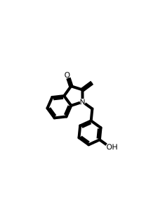 C=C1C(=O)c2ccccc2N1Cc1cccc(O)c1